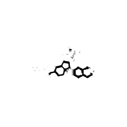 CC[Si](CC)(CC)OC1=CC2=CC(C(=O)OC)=CC[C@@]2(C)[C@H]1c1ccc2ccncc2c1